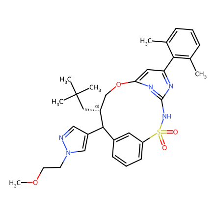 COCCn1cc(C2c3cccc(c3)S(=O)(=O)Nc3nc(cc(-c4c(C)cccc4C)n3)OC[C@H]2CC(C)(C)C)cn1